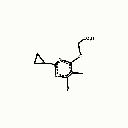 Cc1c(Cl)nc(C2CC2)nc1OCC(=O)O